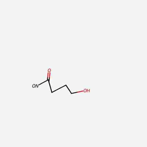 O=NC(=O)CCCO